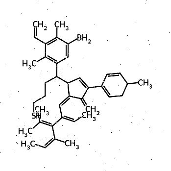 Bc1cc(C(CCCS)C2C=C(C3=CCC(C)C=C3)C(=C)/C2=C\C(=C/C)C(=C(C)C)/C(C)=C\C)c(C)c(C=C)c1C